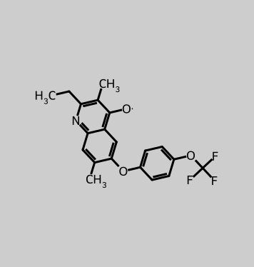 CCc1nc2cc(C)c(Oc3ccc(OC(F)(F)F)cc3)cc2c([O])c1C